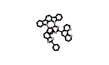 c1ccc(-c2nc3cccc(-c4nc(-c5cc6cccnc6c6ncccc56)nc(-n5c6ccccc6c6ccc7c8ccccc8n(-c8ccccc8)c7c65)n4)c3o2)cc1